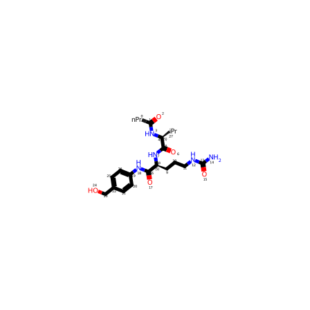 CCCC(=O)N[C@H](C(=O)N[C@@H](CCCNC(N)=O)C(=O)Nc1ccc(CO)cc1)C(C)C